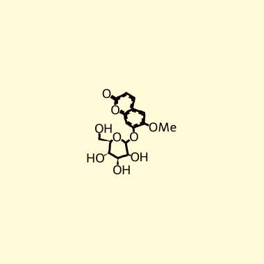 COc1cc2ccc(=O)oc2cc1OC1O[C@H](CO)[C@@H](O)[C@H](O)[C@H]1O